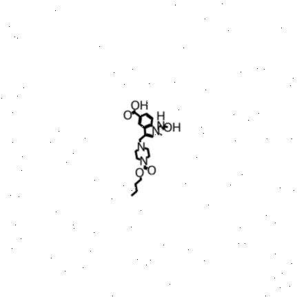 CCCCOC(=O)N1CCN(CC2=C[N@@+](C)(NO)c3ccc(C(=O)O)cc32)CC1